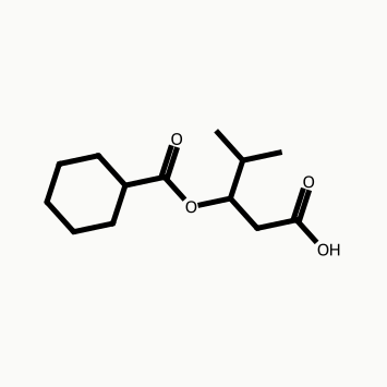 CC(C)C(CC(=O)O)OC(=O)C1CCCCC1